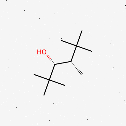 C[C@H]([C@@H](O)C(C)(C)C)C(C)(C)C